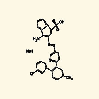 Cc1ccc(-c2cccc(Cl)c2)c(-c2ccc(N=Nc3cc(S(=O)(=O)O)c4ccccc4c3N)cn2)c1.[NaH]